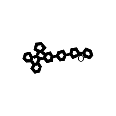 c1ccc2c(c1)oc1cc(-c3ccc(-c4ccc5c(c4)c4ccccc4c4c6ccccc6c6ccccc6c54)cc3)ccc12